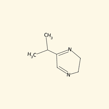 CC(C)C1=NCCN=C1